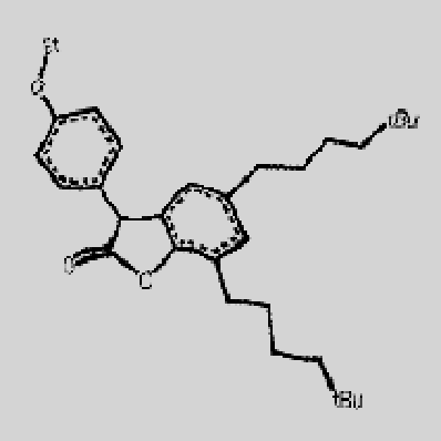 CCOc1ccc(C2C(=O)Oc3c(CCCCC(C)(C)C)cc(CCCCC(C)(C)C)cc32)cc1